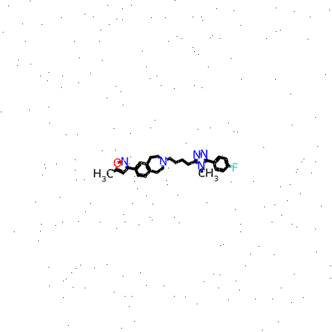 Cc1cc(-c2ccc3c(c2)CCN(CCCCc2nnc(-c4ccc(F)cc4)n2C)CC3)no1